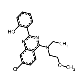 CCN(CCOC)c1nc(-c2ccccc2O)nc2cc(Cl)ccc12